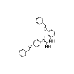 CN(C(=N)Nc1cccc(OCc2ccccc2)c1)c1ccc(OCc2ccccc2)cc1